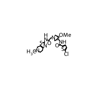 CO[C@H]1CN(CC(=O)Nc2nc3c(s2)CN(C)CC3)C[C@@H]1NC(=O)c1ccc(Cl)s1